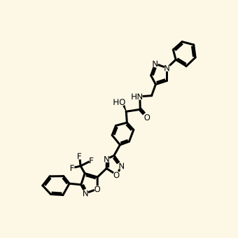 O=C(NCc1cnn(-c2ccccc2)c1)[C@H](O)c1ccc(-c2noc(-c3onc(-c4ccccc4)c3C(F)(F)F)n2)cc1